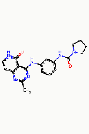 Cc1nc(Nc2cccc(NC(=O)N3CCCC3)c2)c2c(=O)[nH]ccc2n1